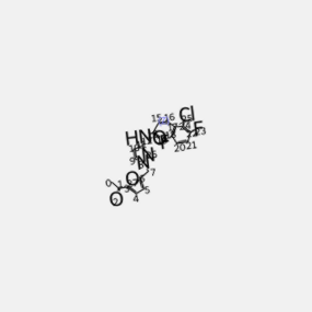 CC(=O)c1ccc(Cn2ccc(NC(=O)/C=C\c3c(F)ccc(F)c3Cl)n2)o1